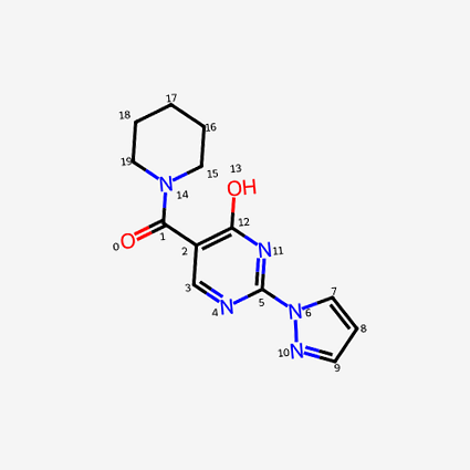 O=C(c1cnc(-n2cccn2)nc1O)N1CCCCC1